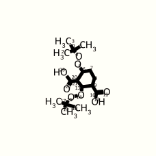 CC(C)(C)OOC1CCC(C(=O)O)C(OOC(C)(C)C)C1C(=O)O